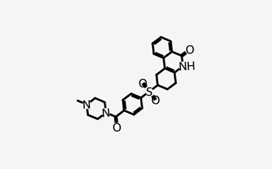 CN1CCN(C(=O)c2ccc(S(=O)(=O)C3CCc4[nH]c(=O)c5ccccc5c4C3)cc2)CC1